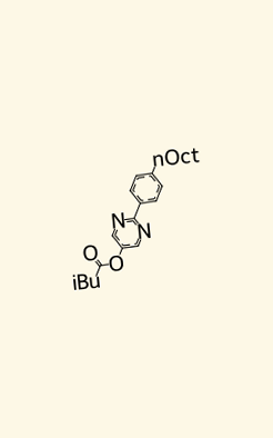 CCCCCCCCc1ccc(-c2ncc(OC(=O)C(C)CC)cn2)cc1